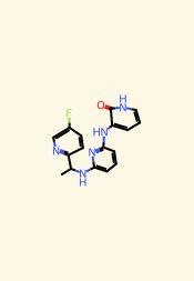 CC(Nc1cccc(Nc2ccc[nH]c2=O)n1)c1ccc(F)cn1